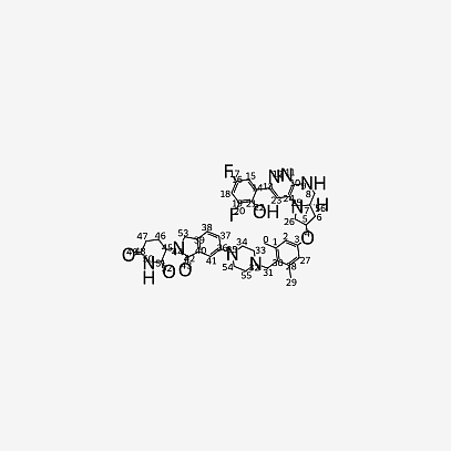 Cc1cc(O[C@@H]2C[C@@H]3CNc4nnc(-c5cc(F)cc(F)c5O)cc4N3C2)cc(C)c1CN1CCN(c2ccc3c(c2)C(=O)N(C2CCC(=O)NC2=O)C3)CC1